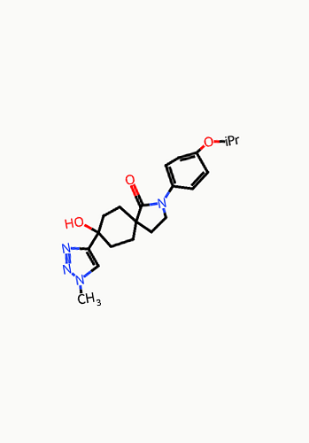 CC(C)Oc1ccc(N2CCC3(CCC(O)(c4cn(C)nn4)CC3)C2=O)cc1